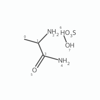 CC(N)C(N)=O.O=S(=O)(O)O